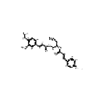 Cc1ccc(/C=C/C(=O)OC(CO)COC(=O)/C=C/c2ccc(CO)c(O)c2)cc1